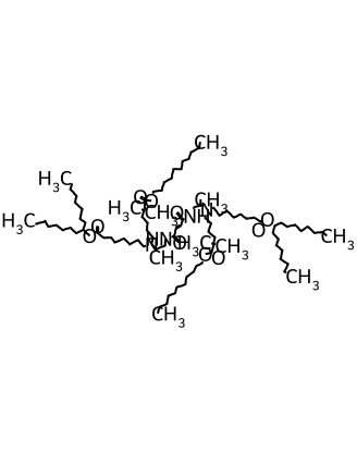 CCCCCCCCCCCOC(=O)C(C)(C)CCCCN(CCCCCCCC(=O)OC(CCCCCCCC)CCCCCCCC)C(C)CNC(=O)/C=C/C(=O)NCC(C)N(CCCCCCCC(=O)OC(CCCCCCCC)CCCCCCCC)CCCCC(C)(C)C(=O)OCCCCCCCCCCC